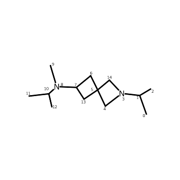 CC(C)N1CC2(CC(N(C)C(C)C)C2)C1